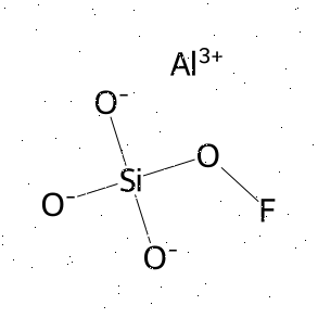 [Al+3].[O-][Si]([O-])([O-])OF